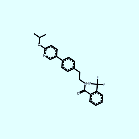 CC(C)Oc1ccc(-c2ccc(CCNC(=O)c3ccccc3C(F)(F)F)cc2)cn1